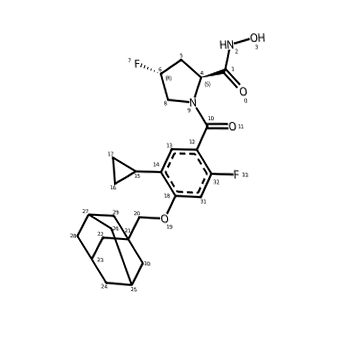 O=C(NO)[C@@H]1C[C@@H](F)CN1C(=O)c1cc(C2CC2)c(OCC23CC4CC(CC(C4)C2)C3)cc1F